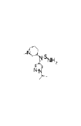 CC(C)n1cc(N(SN)C2CCCN(C)C2)cn1